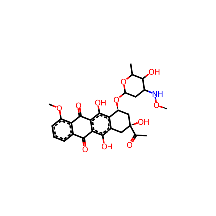 CONC1CC(O[C@H]2C[C@](O)(C(C)=O)Cc3c(O)c4c(c(O)c32)C(=O)c2c(OC)cccc2C4=O)OC(C)C1O